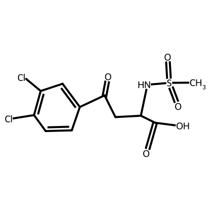 CS(=O)(=O)NC(CC(=O)c1ccc(Cl)c(Cl)c1)C(=O)O